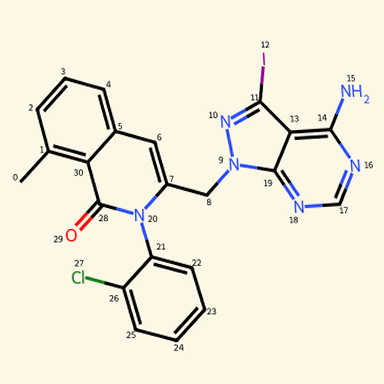 Cc1cccc2cc(Cn3nc(I)c4c(N)ncnc43)n(-c3ccccc3Cl)c(=O)c12